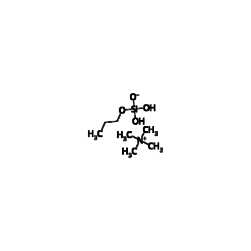 CCCO[Si]([O-])(O)O.C[N+](C)(C)C